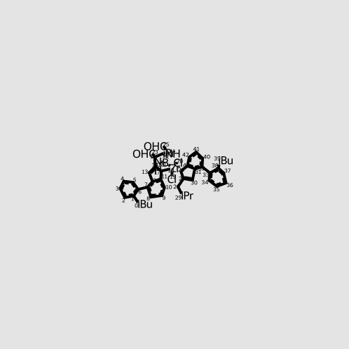 CCC(C)c1ccccc1-c1cccc2c1C=C(CC(C)C)[CH]2[Zr]([Cl])([Cl])([B](NC=O)NC=O)[CH]1C(CC(C)C)=Cc2c(-c3ccccc3C(C)CC)cccc21